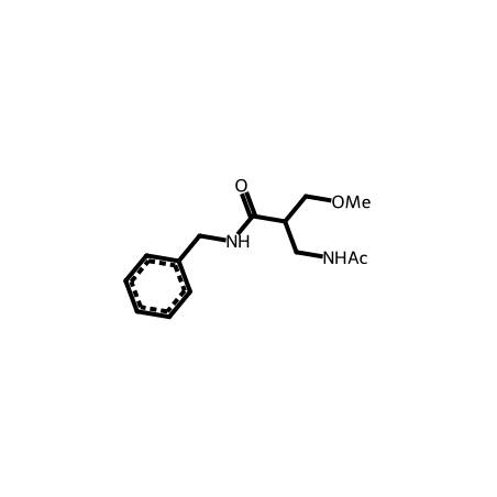 COCC(CNC(C)=O)C(=O)NCc1ccccc1